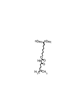 CCCCCCCCCCC(=CCCCCCCOC(=O)NC(=O)CCCN(C)C)CCCCCCCCCC